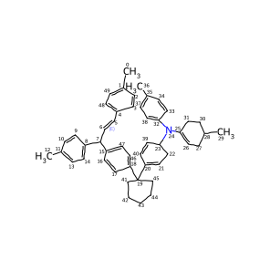 Cc1ccc(/C=C/C(c2ccc(C)cc2)c2ccc(C3(C4=CCC(N(C5=CCC(C)CC5)c5ccc(C)cc5)C=C4)CCCCC3)cc2)cc1